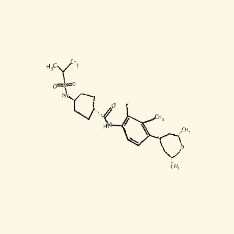 Cc1c(N2C[C@@H](C)O[C@@H](C)C2)ccc(NC(=O)[C@H]2CC[C@H](NS(=O)(=O)C(C)C)CC2)c1F